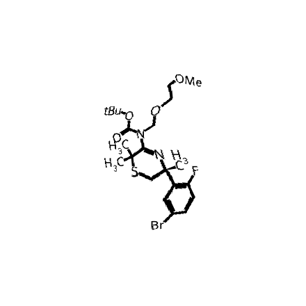 COCCOCN(C(=O)OC(C)(C)C)C1=N[C@](C)(c2cc(Br)ccc2F)CSC1(C)C